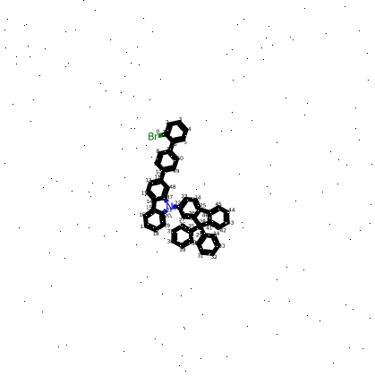 Brc1ccccc1-c1ccc(-c2ccc3c4ccccc4n(-c4ccc5c(c4)C(c4ccccc4)(c4ccccc4)c4ccccc4-5)c3c2)cc1